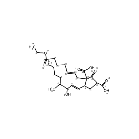 CCCCC(C)C(O)/C=C/C1CC(C(=O)O)C(=O)C1(C/C=C/CCCC(=O)OCC)C(=O)O